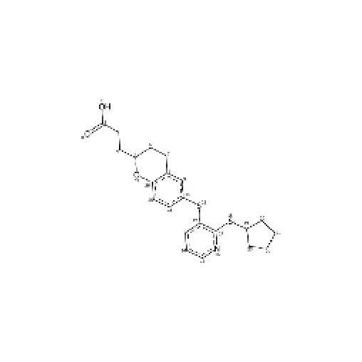 O=C(O)CCC1CCc2cc(Sc3cccnc3SC3CCCC3)ccc2O1